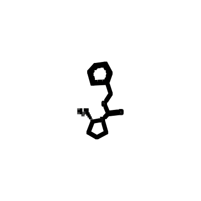 N[C@H]1CCCN1C(=O)OCc1ccccc1